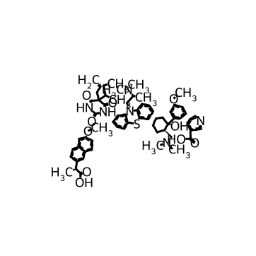 C=CCC1(C(C)CC)C(=O)NC(=O)NC1=O.CC(CN1c2ccccc2Sc2ccccc21)N(C)C.COc1ccc2cc([C@H](C)C(=O)O)ccc2c1.COc1cccc([C@@]2(O)CCCC[C@@H]2CN(C)C)c1.O=C(O)c1cccnc1